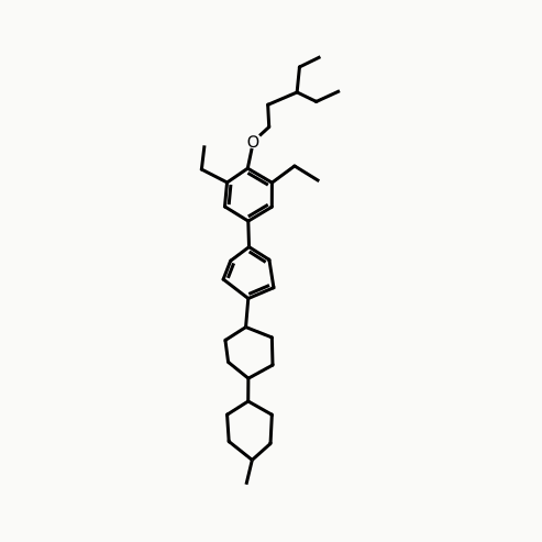 CCc1cc(-c2ccc(C3CCC(C4CCC(C)CC4)CC3)cc2)cc(CC)c1OCCC(CC)CC